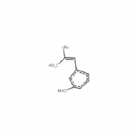 CCCC/C(=C/c1cccc(OC)c1)C(=O)O